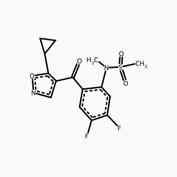 CN(c1cc(F)c(F)cc1C(=O)c1cnoc1C1CC1)S(C)(=O)=O